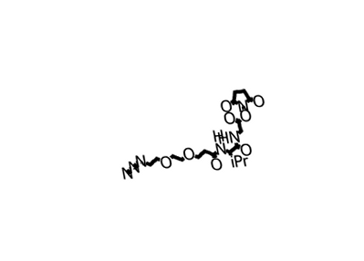 CC(C)C(NC(=O)CCOCCOCCN=[N+]=[N-])C(=O)NCC(=O)ON1C(=O)CCC1=O